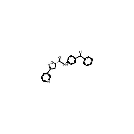 O=C(Nc1ccc(C(Cl)c2ccccc2)cc1)[C@@H]1CC(c2cccnc2)=NO1